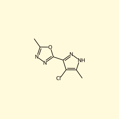 Cc1nnc(-c2n[nH]c(C)c2Cl)o1